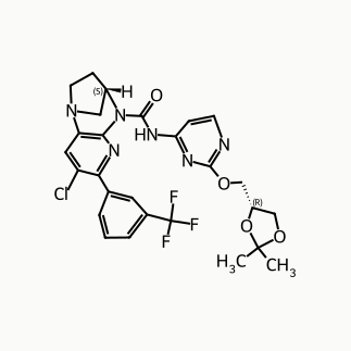 CC1(C)OC[C@@H](COc2nccc(NC(=O)N3c4nc(-c5cccc(C(F)(F)F)c5)c(Cl)cc4N4CC[C@H]3C4)n2)O1